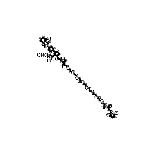 O=CNC[C@@H](C(=O)O)C1C(CCNC(=O)CCOCCOCCOCCOCCOCCOCCOCCOCCNC(=O)CCN2C(=O)C=CC2=O)CCC1c1ccc(NC(=O)c2c(Cl)cccc2Cl)cc1